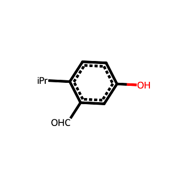 CC(C)c1ccc(O)cc1C=O